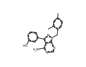 Cc1c[c]c(Cn2nc(-c3cccc(O)c3)c3c(N)ncnc32)c(C)c1